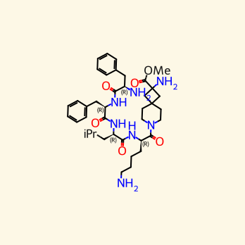 COC(=O)C1(N)CC2(CCN(C(=O)[C@@H](CCCCN)NC(=O)[C@@H](CC(C)C)NC(=O)[C@@H](Cc3ccccc3)NC(=O)[C@H](N)Cc3ccccc3)CC2)C1